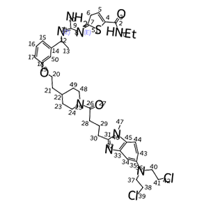 CCNC(=O)C1=CC/C(=N\C(N)=N/C(C)c2cccc(OCCC3CCN(C(=O)CCCc4nc5cc(N(CCCl)CCCl)ccc5n4C)CC3)c2)S1